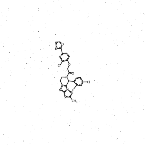 Cc1nn2c3c(nc2s1)CCN(C(=O)COc1ccc(-c2ncco2)nc1Cl)C3c1ccc(Cl)cc1F